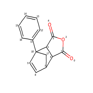 O=C1OC(=O)C2C1C1C=CC2(c2ccccc2)C1